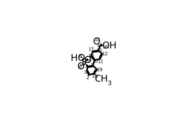 Cc1ccc(S(=O)(=O)O)c(-c2ccc(C(=O)O)cc2)c1